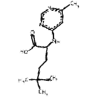 Cc1cc(N[C@@H](CCC(C)(C)C)C(=O)O)ncn1